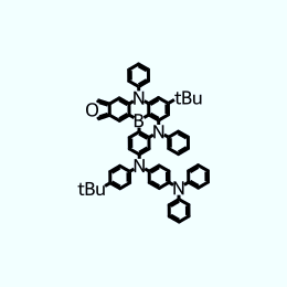 CC(C)(C)c1ccc(N(c2ccc(N(c3ccccc3)c3ccccc3)cc2)c2ccc3c(c2)N(c2ccccc2)c2cc(C(C)(C)C)cc4c2B3c2cc3cocc3cc2N4c2ccccc2)cc1